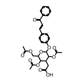 CC(=O)OCC1OC(Oc2ccc(C=CC(=O)c3ccccc3)cc2)C(OC(C)=O)C(CC(=O)O)C1OC(C)=O